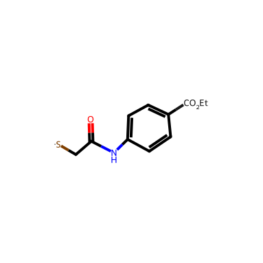 CCOC(=O)c1ccc(NC(=O)C[S])cc1